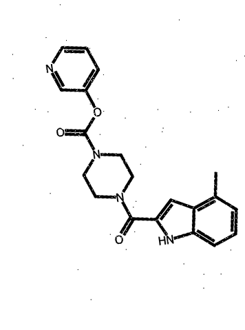 Cc1cccc2[nH]c(C(=O)N3CCN(C(=O)Oc4cccnc4)CC3)cc12